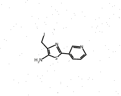 Nc1sc(-c2cccnc2)nc1CI